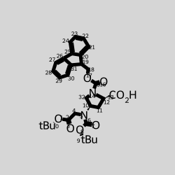 CC(C)(C)OC(=O)CN(C(=O)OC(C)(C)C)[C@H]1C[C@@H](C(=O)O)N(C(=O)OCC2c3ccccc3-c3ccccc32)C1